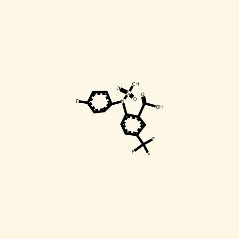 O=C(O)c1cc(C(F)(F)F)ccc1N(c1ccc(F)cc1)S(=O)(=O)O